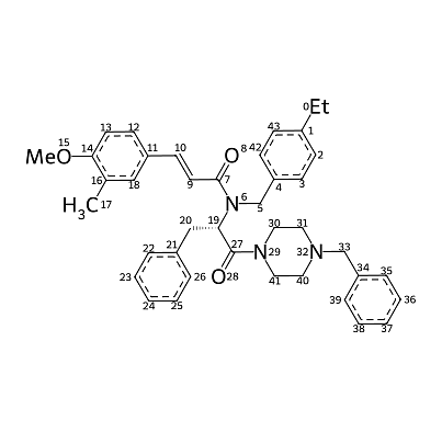 CCc1ccc(CN(C(=O)/C=C/c2ccc(OC)c(C)c2)[C@@H](Cc2ccccc2)C(=O)N2CCN(Cc3ccccc3)CC2)cc1